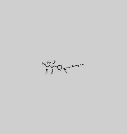 CCOCCOCCN(CC)c1ccc(C2=C(C#N)C(=C(C#N)C#N)NC2=O)cc1